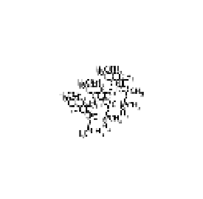 CC(C)=CCC[C@@H](C)[C@H]1CC[C@@]2(C)C3=C(CC[C@]12C)[C@@]1(C)CCC(O)C(C)(C)[C@@H]1CC3.CC(C)=CCC[C@@H](C)[C@H]1CC[C@@]2(C)C3=C(CC[C@]12C)[C@@]1(C)CC[C@H](O)C(C)(C)[C@@H]1CC3.CC(C)=CCC[C@@H](C)[C@H]1CC[C@@]2(C)C3=C(CC[C@]12C)[C@@]1(C)CC[C@H](O)C(C)(C)[C@@H]1CC3